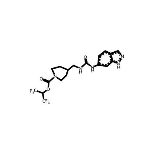 O=C(NCC1CCN(C(=O)OC(C(F)(F)F)C(F)(F)F)CC1)Nc1ccc2cn[nH]c2c1